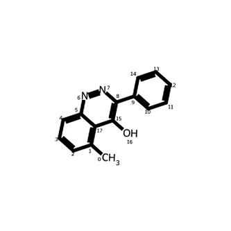 Cc1cccc2nnc(-c3ccccc3)c(O)c12